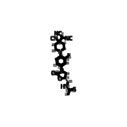 [C-]#[N+]C(C#N)C1([N+]#[C-])CCN(c2ccc(N3C[C@H](CNC(C)=S)OC3=O)cc2F)CC1